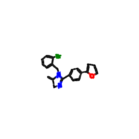 CC1CN=C(c2ccc(-c3ccco3)cc2)N1Cc1ccccc1Br